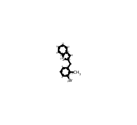 Cc1c(Br)cccc1Cc1cc2ccccc2s1